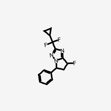 FC1CC(c2ccccc2)n2nc(C(F)(F)C3CC3)nc21